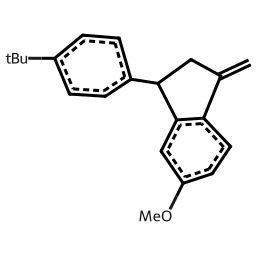 C=C1CC(c2ccc(C(C)(C)C)cc2)c2cc(OC)ccc21